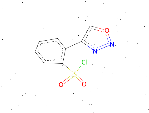 O=S(=O)(Cl)c1ccccc1-c1conn1